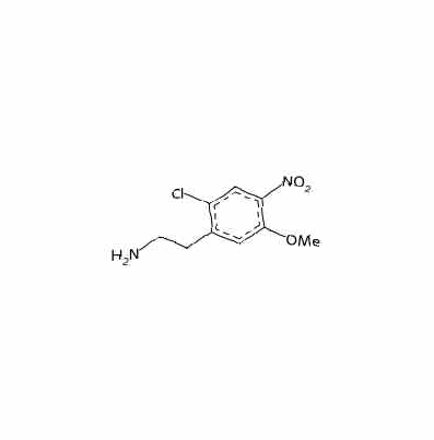 COc1cc(CCN)c(Cl)cc1[N+](=O)[O-]